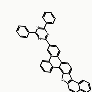 c1ccc(-c2nc(-c3ccccc3)nc(-c3ccc4c(c3)c3ccccc3c3c4ccc4c3oc3ccc5ccccc5c34)n2)cc1